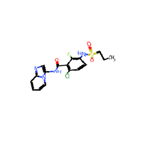 CCCS(=O)(=O)Nc1ccc(Cl)c(C(=O)Nc2cnc3ccccn23)c1F